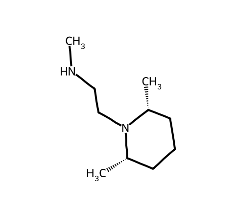 CNCCN1[C@H](C)CCC[C@@H]1C